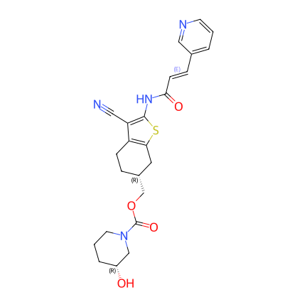 N#Cc1c(NC(=O)/C=C/c2cccnc2)sc2c1CC[C@@H](COC(=O)N1CCC[C@@H](O)C1)C2